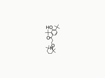 CC(C)(C)c1ccc(C(=O)CCON2C(C)(C)CCCC2(C)C)c(C(C)(C)C)c1O